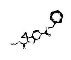 CC(C)(C)OC(=O)NC1(C2=C(F)CN(C(=O)OCc3ccccc3)C=C2)CC1